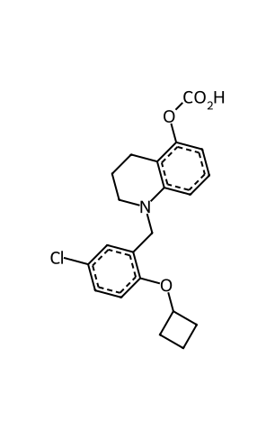 O=C(O)Oc1cccc2c1CCCN2Cc1cc(Cl)ccc1OC1CCC1